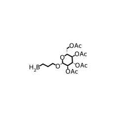 BCCCO[C@@H]1O[C@H](COC(C)=O)[C@@H](OC(C)=O)[C@H](OC(C)=O)[C@H]1OC(C)=O